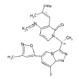 C=Nc1ccn([C@H](C)c2nnc3c(F)cc(-c4cc(C)no4)cn23)c(=O)c1/C=C(\C)OC